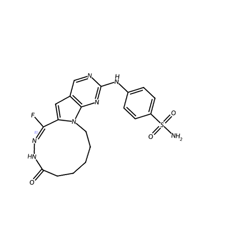 NS(=O)(=O)c1ccc(Nc2ncc3cc4n(c3n2)CCCCCC(=O)N/N=C\4F)cc1